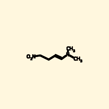 CN(C)/C=C/CC[N+](=O)[O-]